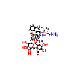 CCOC(=O)C1=C(COCCN)NC(C)=C(C(=O)OC)C1c1ccccc1Cl.OC[C@H]1O[C@@H](O[C@H]2[C@H](O)[C@@H](O)[C@H](O)O[C@@H]2CO)[C@H](O)[C@@H](O)[C@H]1O